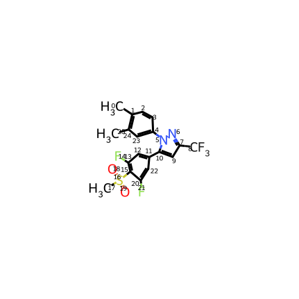 Cc1ccc(-n2nc(C(F)(F)F)cc2-c2cc(F)c(S(C)(=O)=O)c(F)c2)cc1C